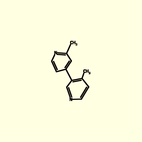 Cc1cc(-c2cnccc2C)ccn1